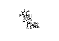 Cc1ccc(F)c2c1NC(C(=O)Nc1cccc(C3CN(C)N(C)C3)c1)C2